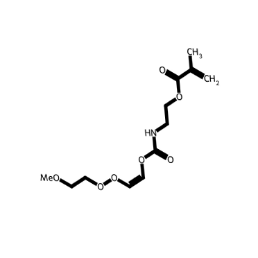 C=C(C)C(=O)OCCNC(=O)O/C=C\OOCCOC